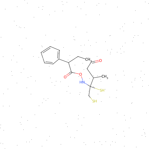 CCC(C(=O)ONC(S)(CS)C(C)CC=O)c1ccccc1